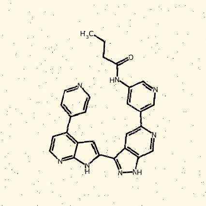 CCCC(=O)Nc1cncc(-c2cc3c(-c4cc5c(-c6ccncc6)ccnc5[nH]4)n[nH]c3cn2)c1